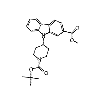 COC(=O)c1ccc2c3ccccc3n(C3CCN(C(=O)OC(C)(C)C)CC3)c2c1